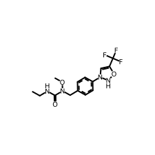 CCNC(=O)N(Cc1ccc(N2C=C(C(F)(F)F)ON2)cc1)OC